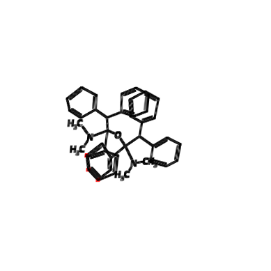 CN(C)C(OC(c1ccccc1)(C(c1ccccc1)c1ccccc1)N(C)C)(c1ccccc1)C(c1ccccc1)c1ccccc1